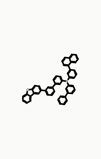 c1ccc(-c2cccc(N(c3cccc(-c4cccc(-c5ccc6oc7ccccc7c6c5)c4)c3)c3cccc(-c4cccc5ccccc45)c3)c2)cc1